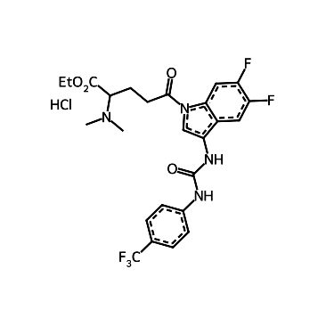 CCOC(=O)C(CCC(=O)n1cc(NC(=O)Nc2ccc(C(F)(F)F)cc2)c2cc(F)c(F)cc21)N(C)C.Cl